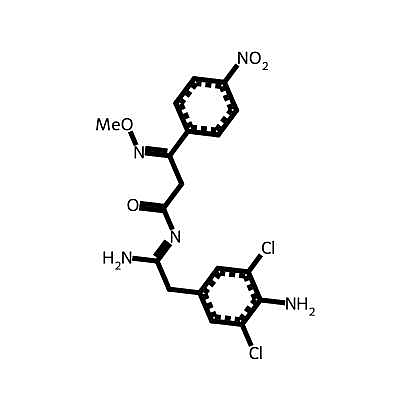 CON=C(CC(=O)N=C(N)Cc1cc(Cl)c(N)c(Cl)c1)c1ccc([N+](=O)[O-])cc1